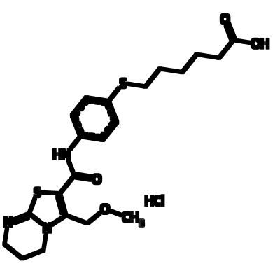 COCC1=C(C(=O)Nc2ccc(SCCCCCC(=O)O)cc2)SC2=NCCCN21.Cl